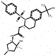 CN1C[C@@H](NC(=O)C[C@@H]2CCc3cc(C(O)(C(F)(F)F)C(F)(F)F)ccc3N2S(=O)(=O)c2ccc(F)cc2)[C@@](C)(O)C1